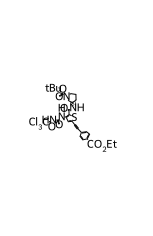 CCOC(=O)c1ccc(C#Cc2cc(NC(=O)NC(=O)C(Cl)(Cl)Cl)c(C(=O)N[C@H]3CCCN(C(=O)OC(C)(C)C)C3)s2)cc1